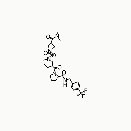 CN(C)C(=O)C1CN(S(=O)(=O)N2CCCC(C(=O)N3CCCC3C(=O)NCc3ccc(C(F)(F)F)cc3)C2)C1